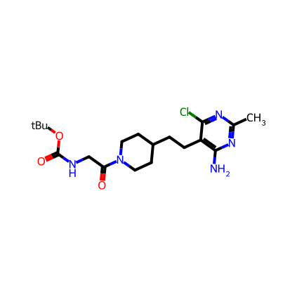 Cc1nc(N)c(CCC2CCN(C(=O)CNC(=O)OC(C)(C)C)CC2)c(Cl)n1